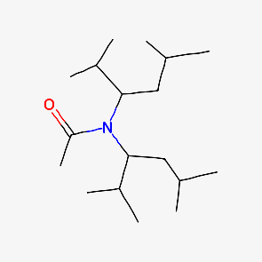 CC(=O)N(C(CC(C)C)C(C)C)C(CC(C)C)C(C)C